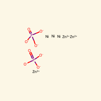 O=P([O-])([O-])[O-].O=P([O-])([O-])[O-].[Ni].[Ni].[Ni].[Zn+2].[Zn+2].[Zn+2]